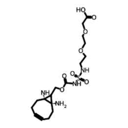 N[C@@]12CCC#CCC[C@]1(N)C2COC(=O)NS(=O)(=O)NCCOCCOCC(=O)O